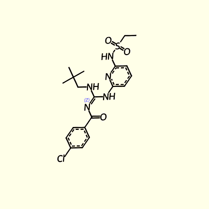 CCS(=O)(=O)Nc1cccc(N/C(=N\C(=O)c2ccc(Cl)cc2)NCC(C)(C)C)n1